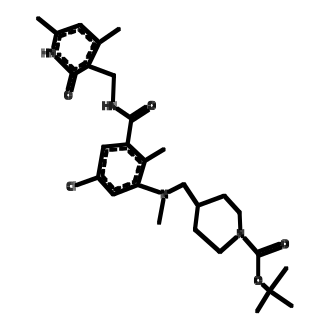 Cc1cc(C)c(CNC(=O)c2cc(Cl)cc(N(C)CC3CCN(C(=O)OC(C)(C)C)CC3)c2C)c(=O)[nH]1